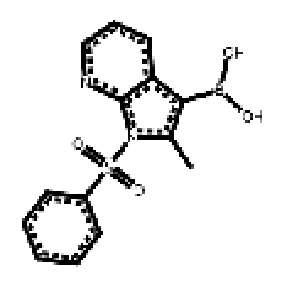 Cc1c(B(O)O)c2cccnc2n1S(=O)(=O)c1ccccc1